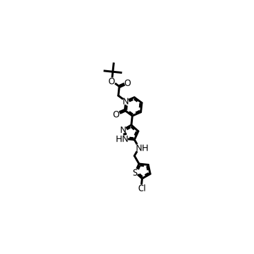 CC(C)(C)OC(=O)Cn1cccc(-c2cc(NCc3ccc(Cl)s3)[nH]n2)c1=O